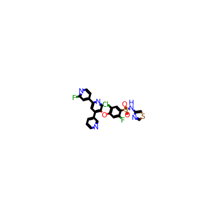 O=S(=O)(Nc1cscn1)c1cc(Cl)c(Oc2cnc(-c3ccnc(F)c3)cc2-c2cccnc2)cc1F